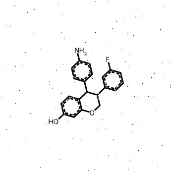 Nc1ccc(C2c3ccc(O)cc3OCC2c2cccc(F)c2)cc1